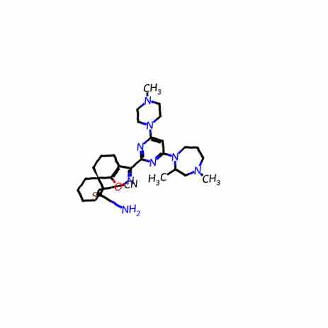 CC1CN(C)CCCN1c1cc(N2CCN(C)CC2)nc(-c2noc3c2CCC[C@@]32CCCc3sc(N)c(C#N)c32)n1